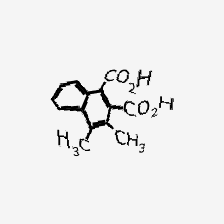 Cc1c(C(=O)O)c(C(=O)O)c2ccccc2c1C